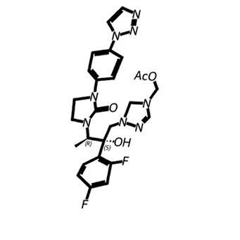 CC(=O)OCN1C=NN(C[C@@](O)(c2ccc(F)cc2F)[C@@H](C)N2CCN(c3ccc(-n4ccnn4)cc3)C2=O)C1